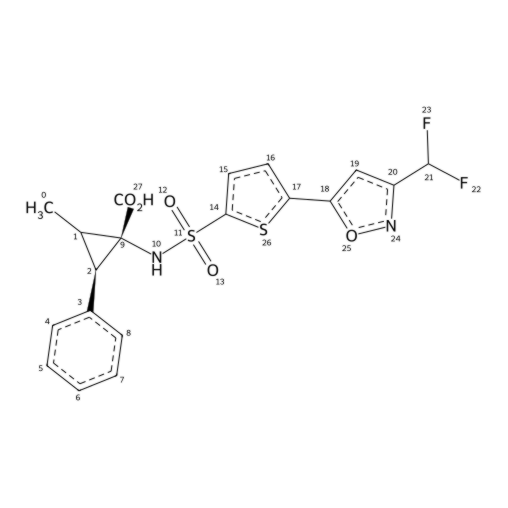 CC1[C@H](c2ccccc2)[C@]1(NS(=O)(=O)c1ccc(-c2cc(C(F)F)no2)s1)C(=O)O